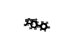 CCCCCC(C)C1CC=C(c2ccccc2)CC1